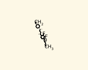 C=C[C@H]1CC[C@H]([CH]CC[CH]c2ccc(OCCCC)c(F)c2F)CC1